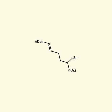 [CH2]CCCCCCCCC/C=C/CCC(CCCCCCC[CH2])C(C)CC